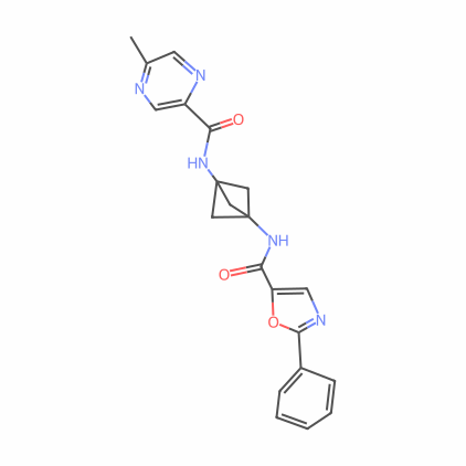 Cc1cnc(C(=O)NC23CC(NC(=O)c4cnc(-c5ccccc5)o4)(C2)C3)cn1